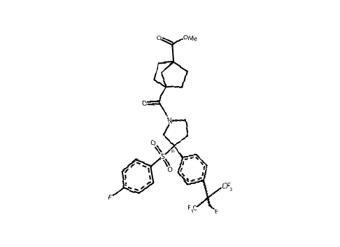 COC(=O)C12CCC(C(=O)N3CC[C@](c4ccc(C(F)(C(F)(F)F)C(F)(F)F)cc4)(S(=O)(=O)c4ccc(F)cc4)C3)(CC1)C2